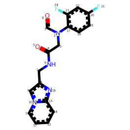 O=CN(CC(=O)NCc1cn2ccccc2n1)c1ccc(F)cc1F